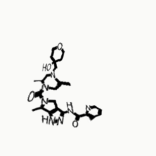 CC1CN(C(=O)N2Cc3c(NC(=O)c4ccccn4)n[nH]c3C2C)[C@@H](C)CN1CC1(O)CCOCC1